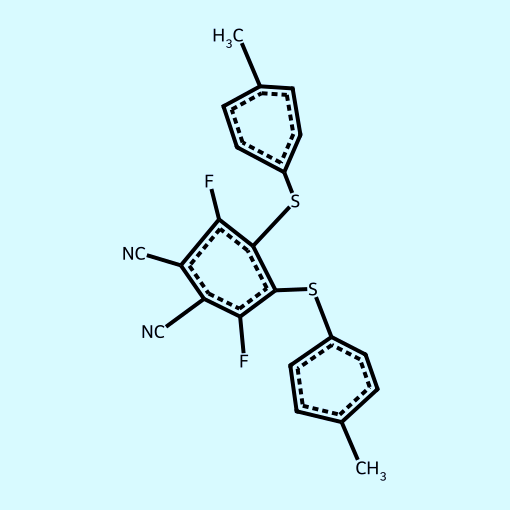 Cc1ccc(Sc2c(F)c(C#N)c(C#N)c(F)c2Sc2ccc(C)cc2)cc1